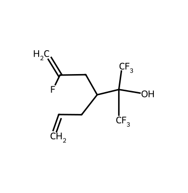 C=CCC(CC(=C)F)C(O)(C(F)(F)F)C(F)(F)F